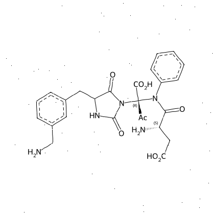 CC(=O)[C@](C(=O)O)(N1C(=O)NC(Cc2cccc(CN)c2)C1=O)N(C(=O)[C@@H](N)CC(=O)O)c1ccccc1